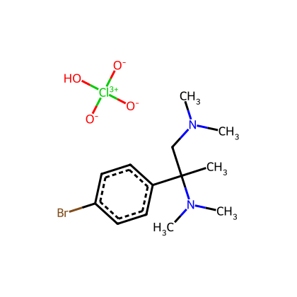 CN(C)CC(C)(c1ccc(Br)cc1)N(C)C.[O-][Cl+3]([O-])([O-])O